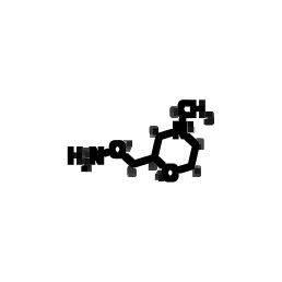 CN1CCOC(CON)C1